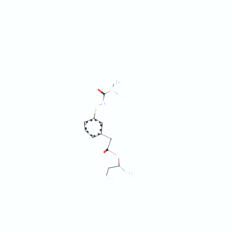 CCC(C)OC(=O)Cc1cccc(SNC(=O)N(C)C)c1